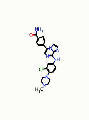 CN1CCN(c2ccc(Nc3ncc(-c4ccc(C(N)=O)cc4)n4ccnc34)cc2Cl)CC1